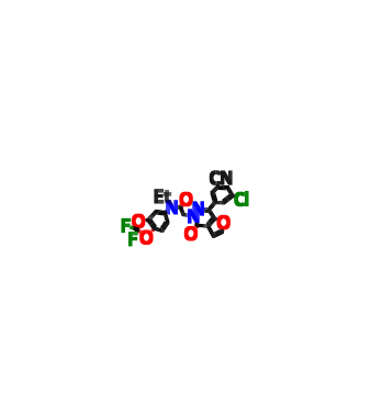 CCN(C(=O)Cn1nc(-c2cc(Cl)cc(C#N)c2)c2occc2c1=O)c1ccc2c(c1)OC(F)(F)O2